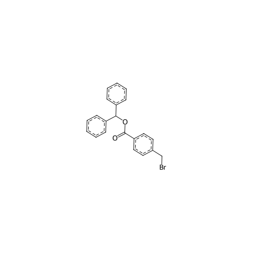 O=C(OC(c1ccccc1)c1ccccc1)c1ccc(CBr)cc1